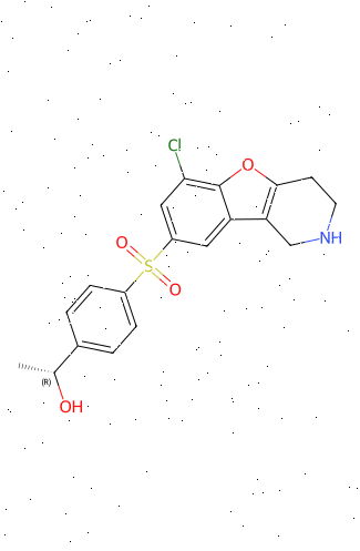 C[C@@H](O)c1ccc(S(=O)(=O)c2cc(Cl)c3oc4c(c3c2)CNCC4)cc1